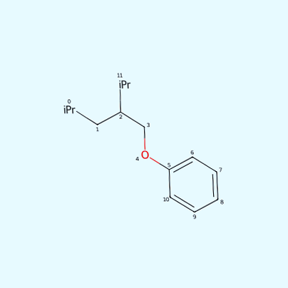 CC(C)CC(COc1ccccc1)C(C)C